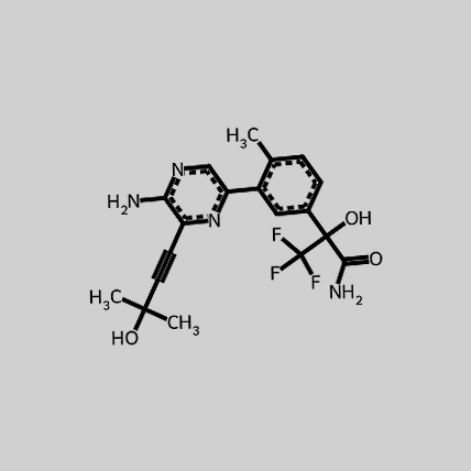 Cc1ccc(C(O)(C(N)=O)C(F)(F)F)cc1-c1cnc(N)c(C#CC(C)(C)O)n1